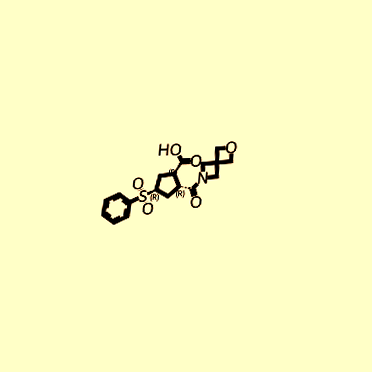 O=C(O)[C@@H]1C[C@H](S(=O)(=O)c2ccccc2)C[C@H]1C(=O)N1CC2(COC2)C1